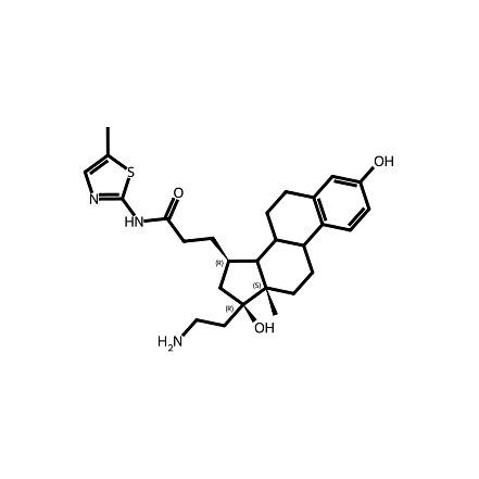 Cc1cnc(NC(=O)CC[C@@H]2C[C@@](O)(CCN)[C@@]3(C)CCC4c5ccc(O)cc5CCC4C23)s1